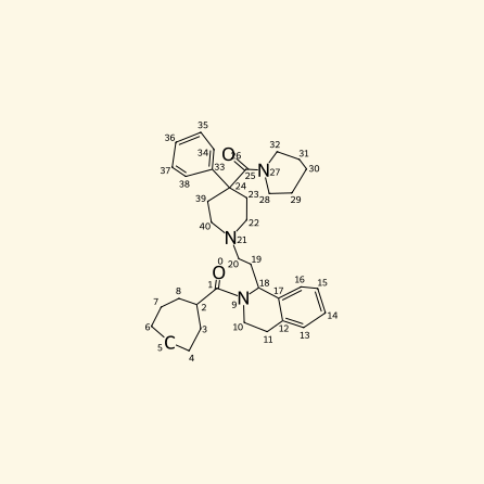 O=C(C1CCCCCC1)N1CCc2ccccc2C1CCN1CCC(C(=O)N2CCCCC2)(c2ccccc2)CC1